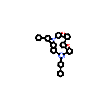 c1ccc(-c2ccc(-c3nc(-c4ccccc4)nc(-c4cccc5oc6c(-c7cccc8oc9ccc(-n%10c%11ccccc%11c%11cc(-c%12ccccc%12)ccc%11%10)cc9c78)cccc6c45)n3)cc2)cc1